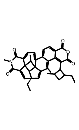 CCC1CC(C)C1C1=c2c(ccc3c2=C(C)C2=C[C@]4(CC)C=C5C(=O)N(C)C(=O)C6=CC=C3C23C(C)C65C34)C(=O)OC1=O